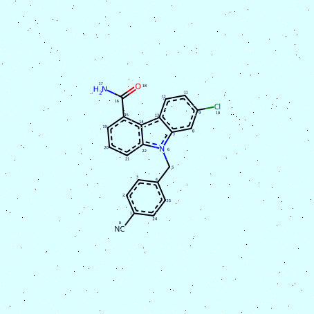 N#Cc1ccc(Cn2c3cc(Cl)c[c]c3c3c(C(N)=O)cccc32)cc1